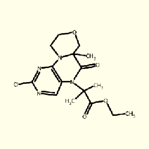 CCOC(=O)C(C)(C)N1C(=O)C2(C)COCCN2c2nc(Cl)ncc21